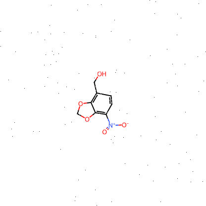 O=[N+]([O-])c1ccc(CO)c2c1OCO2